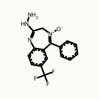 NNC1=Nc2ccc(C(F)(F)F)cc2C(c2ccccc2)=[N+]([O-])C1